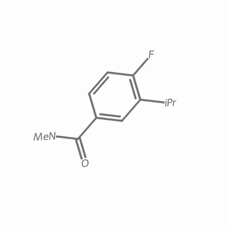 CNC(=O)c1ccc(F)c(C(C)C)c1